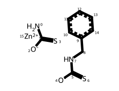 NC([O-])=S.[O-]C(=S)NCc1ccccc1.[Zn+2]